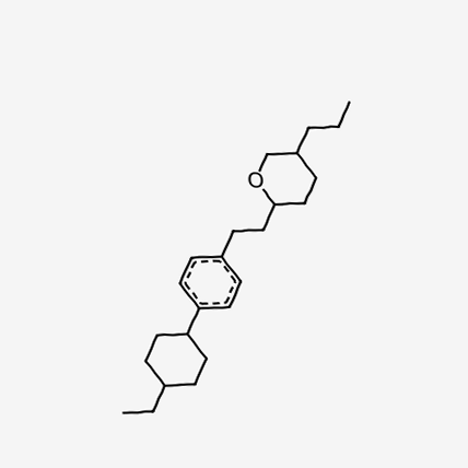 CCCC1CCC(CCc2ccc(C3CCC(CC)CC3)cc2)OC1